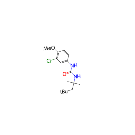 COc1ccc(NC(=O)NC(C)(C)CC(C)(C)C)cc1Cl